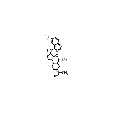 CC(=O)NC1C[C@H](N(C)C(C)C)CC[C@@H]1N1CCC(Nc2ncnc3ccc(C(F)(F)F)cc23)C1=O